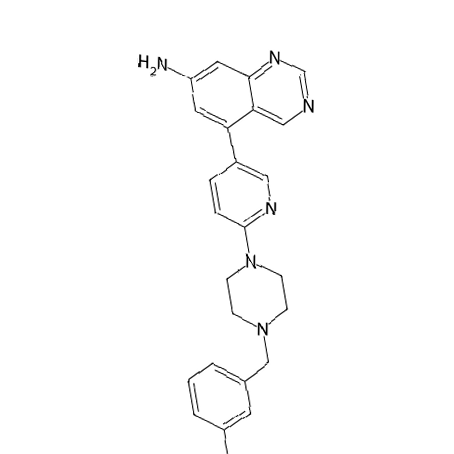 Nc1cc(-c2ccc(N3CCN(Cc4cccc(F)c4)CC3)nc2)c2cncnc2c1